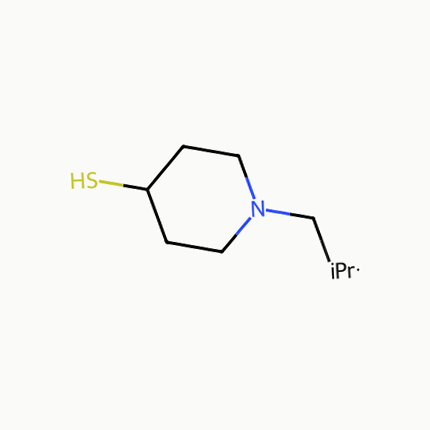 C[C](C)CN1CCC(S)CC1